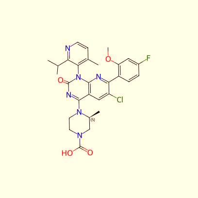 COc1cc(F)ccc1-c1nc2c(cc1Cl)c(N1CCN(C(=O)O)C[C@@H]1C)nc(=O)n2-c1c(C)ccnc1C(C)C